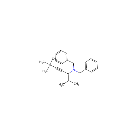 CC(C)C(C#C[Si](C)(C)C)N(Cc1ccccc1)Cc1ccccc1